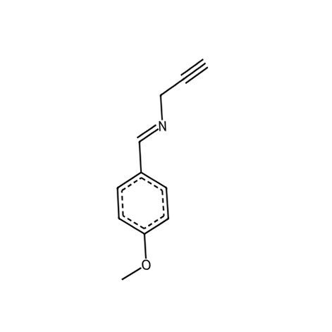 C#CCN=Cc1ccc(OC)cc1